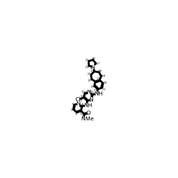 CNC(=O)c1cccnc1Nc1nc(Nc2ccc3c(c2)CCC(N2CCCC2)CC3)ncc1Cl